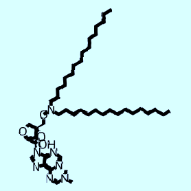 CCCCCCCCCCCCCCCCN(CCCCCCCCCCCCCCCC)OC[C@]12COC(C1O)[C@H](n1cnc3c(/N=C\N(C)C)ncnc31)O2